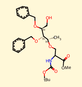 COC(=O)C(CO[C@@H](C)[C@H](OCc1ccccc1)[C@H](CO)OCc1ccccc1)NC(=O)OC(C)(C)C